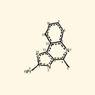 CCCc1nc2c(C)nc3ccccc3c2s1